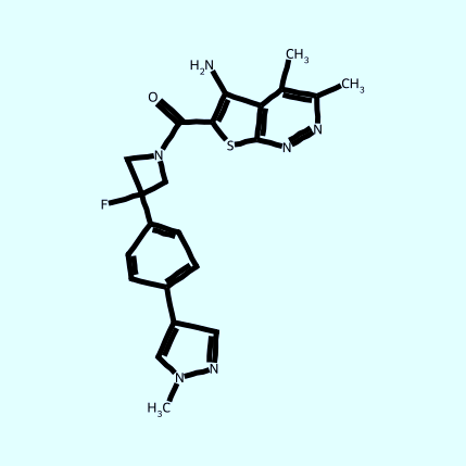 Cc1nnc2sc(C(=O)N3CC(F)(c4ccc(-c5cnn(C)c5)cc4)C3)c(N)c2c1C